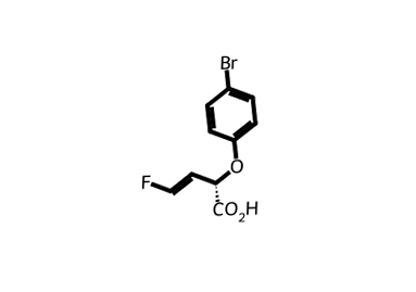 O=C(O)[C@H](/C=C/F)Oc1ccc(Br)cc1